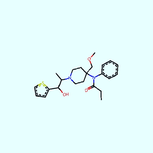 CCC(=O)N(c1ccccc1)C1(COC)CCN(C(C)C(O)c2cccs2)CC1